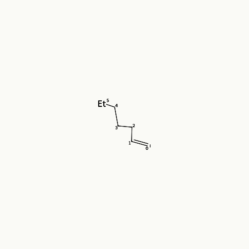 [C]=CCCCCC